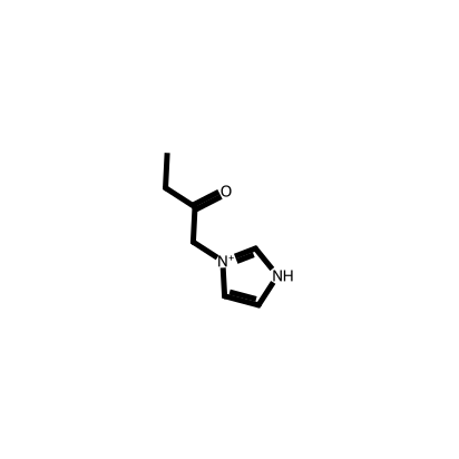 CCC(=O)C[n+]1cc[nH]c1